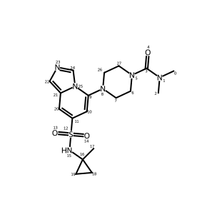 CN(C)C(=O)N1CCN(c2cc(S(=O)(=O)NC3(C)CC3)cc3cncn23)CC1